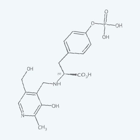 Cc1ncc(CO)c(CN[C@@H](Cc2ccc(OP(=O)(O)O)cc2)C(=O)O)c1O